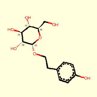 OC[C@H]1O[C@H](OCCc2ccc(O)cc2)[C@H](O)[C@@H](O)[C@@H]1O